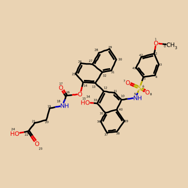 COc1ccc(S(=O)(=O)Nc2cc(-c3c(OC(=O)NCCCC(=O)O)ccc4ccccc34)c(O)c3ccccc23)cc1